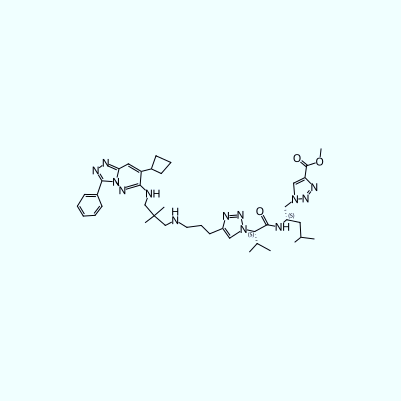 COC(=O)c1cn(C[C@H](CC(C)C)NC(=O)[C@H](C(C)C)n2cc(CCCNCC(C)(C)CNc3nn4c(-c5ccccc5)nnc4cc3C3CCC3)nn2)nn1